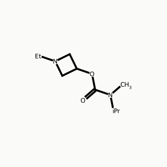 CCN1CC(OC(=O)N(C)C(C)C)C1